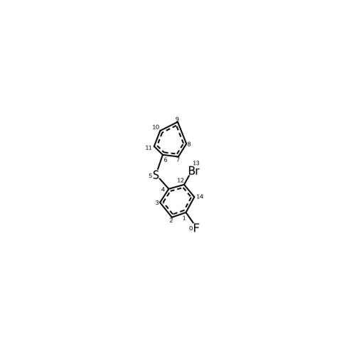 Fc1ccc(Sc2ccccc2)c(Br)c1